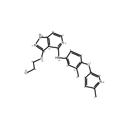 Cc1ccc(Oc2ccc(Nc3nccc4[nH]nc(OCCCl)c34)cc2C)cn1